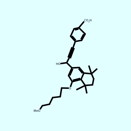 COCCCCCOc1cc(C(O)C#Cc2ccc(C(=O)O)cc2)cc2c1C(C)(C)CCC2(C)C